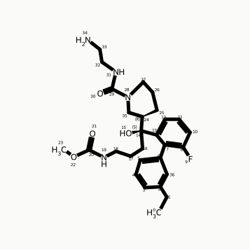 CCc1cccc(-c2c(F)cccc2[C@](O)(CCCNC(=O)OC)[C@@H]2CCCN(C(=O)NCCN)C2)c1